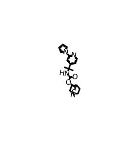 CC(C)(NC(=O)OC1CN2CCC1CC2)c1ccnc(-n2cccc2)c1